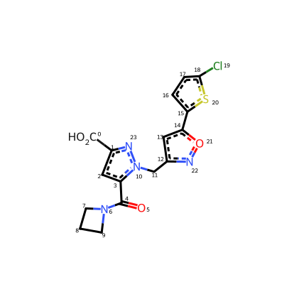 O=C(O)c1cc(C(=O)N2CCC2)n(Cc2cc(-c3ccc(Cl)s3)on2)n1